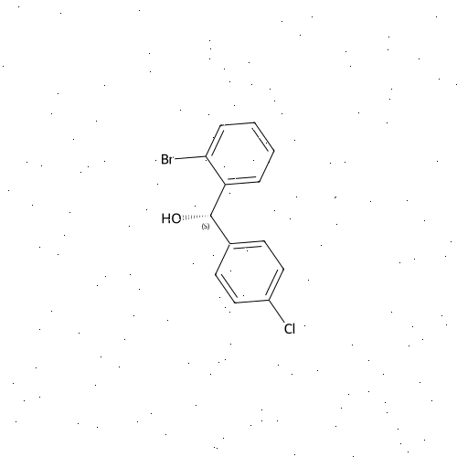 O[C@@H](c1ccc(Cl)cc1)c1ccccc1Br